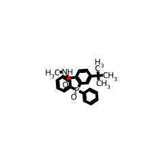 CNC(=O)c1ccc(C(C)(C)C)cc1P(=O)(c1ccccc1)c1ccccc1